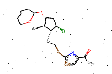 CC[C@@H]1[C@@H](CCSc2nc(C(=O)OC)cs2)[C@H](Cl)C[C@H]1OC1CCCCO1